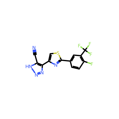 N#Cc1[nH]nnc1-c1csc(-c2ccc(F)c(C(F)(F)F)c2)n1